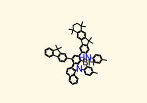 Cc1ccc(Nc2cc3c(cc2-c2cc(-c4ccc5c(c4)C(C)(C)c4ccccc4-5)c4c5ccc6ccccc6c5n5c4c2Bc2cc(C)ccc2-5)-c2cc4c(cc2C3(C)C)C(C)(C)CCC4(C)C)cc1